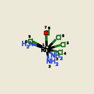 [NH2][Rh]([NH2])([NH2])([Cl])([Cl])([Cl])([Cl])([Cl])[Cl]